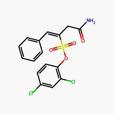 NC(=O)CC(=Cc1ccccc1)S(=O)(=O)Oc1ccc(Cl)cc1Cl